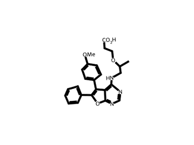 COc1ccc(-c2c(-c3ccccc3)oc3ncnc(NCC(C)OCCC(=O)O)c23)cc1